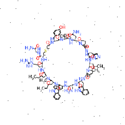 CCCC[C@H]1C(=O)N(C)[C@@H](CCCC)C(=O)N[C@@H](CCCNC(=N)N)C(=O)N[C@H](C(=O)NCC(N)=O)CSCC(=O)N[C@@H](Cc2ccc(O)cc2)C(=O)N(C)[C@@H](C)C(=O)N[C@@H](CC(N)=O)C(=O)N2CCC[C@H]2C(=O)N[C@@H](Cc2cnc[nH]2)C(=O)N[C@@H](CC(C)C)C(=O)N2CCC[C@H]2C(=O)N[C@@H](Cc2c[nH]c3ccccc23)C(=O)N[C@@H](CN)C(=O)N[C@@H](Cc2c[nH]c3ccccc23)C(=O)N1C